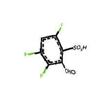 O=Cc1c(F)c(F)cc(F)c1S(=O)(=O)O